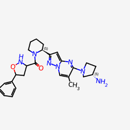 Cc1cn2nc([C@@H]3CCCCN3C(=O)C3CC(c4ccccc4)ON3)cc2nc1N1CC[C@H](N)C1